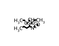 CCCC(N=C=O)[Si](C)(OCC)OCC